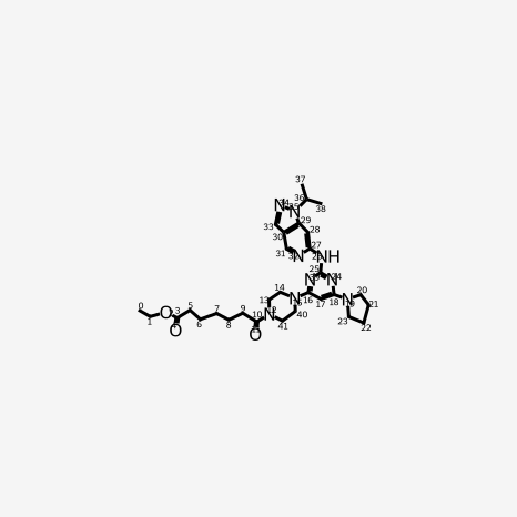 CCOC(=O)CCCCCC(=O)N1CCN(c2cc(N3CCCC3)nc(Nc3cc4c(cn3)cnn4C(C)C)n2)CC1